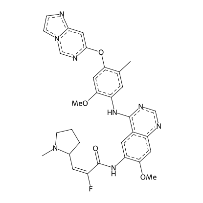 COc1cc2ncnc(Nc3cc(C)c(Oc4cc5nccn5cn4)cc3OC)c2cc1NC(=O)/C(F)=C\C1CCCN1C